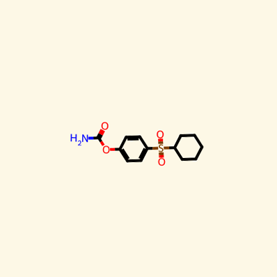 NC(=O)Oc1ccc(S(=O)(=O)C2CCCCC2)cc1